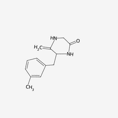 C=C1NCC(=O)NC1Cc1cccc(C)c1